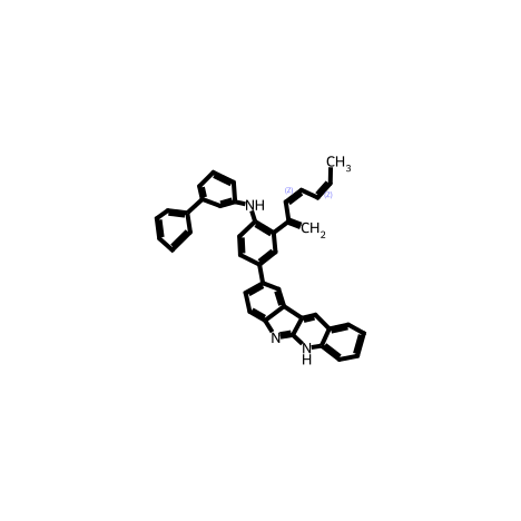 C=C(/C=C\C=C/C)c1cc(-c2ccc3nc4[nH]c5ccccc5cc-4c3c2)ccc1Nc1cccc(-c2ccccc2)c1